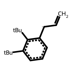 C=C[CH]c1cccc(C(C)(C)C)c1C(C)(C)C